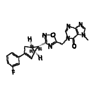 Cn1cnc2ncn(Cc3nc([C@@H]4[C@H]5C=C(c6cccc(F)c6)C[C@H]54)no3)c(=O)c21